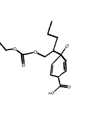 CCCC(COC(=O)OCC)C1(Cl)C=CC(C(=O)O)C=C1